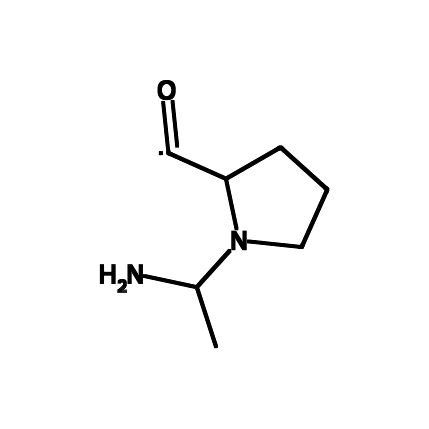 CC(N)N1CCCC1[C]=O